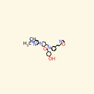 CN(C)c1ccc(N2CCC(CN(C(=O)C3CCC(O)CC3)c3cccc(C=Cc4ncco4)c3)CC2)cn1